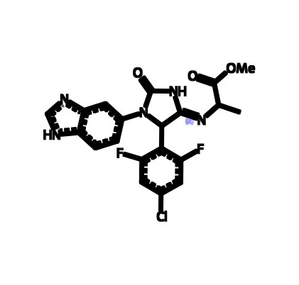 COC(=O)C(C)/N=C1\NC(=O)N(c2ccc3[nH]cnc3c2)C1c1c(F)cc(Cl)cc1F